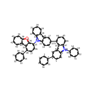 c1ccc(-c2ccc3c(c2)c2c(-c4ccc5c(c4)c4ccccc4n5-c4ccc(-c5ccccc5)c5c4oc4ccccc45)cccc2n3-c2ccccc2)cc1